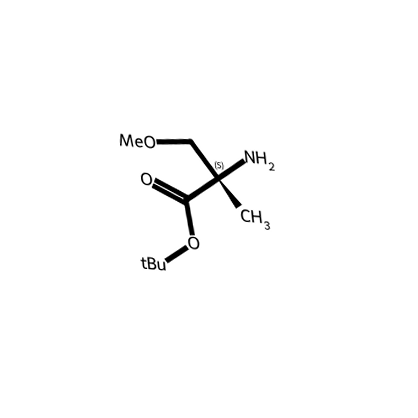 COC[C@](C)(N)C(=O)OC(C)(C)C